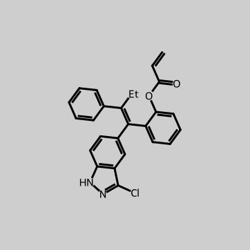 C=CC(=O)Oc1ccccc1/C(=C(\CC)c1ccccc1)c1ccc2[nH]nc(Cl)c2c1